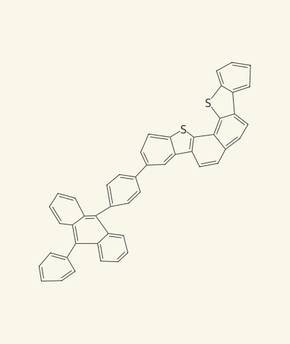 c1ccc(-c2c3ccccc3c(-c3ccc(-c4ccc5sc6c(ccc7ccc8c9ccccc9sc8c76)c5c4)cc3)c3ccccc23)cc1